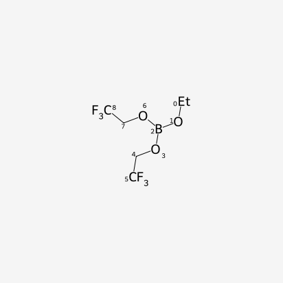 CCOB(OCC(F)(F)F)OCC(F)(F)F